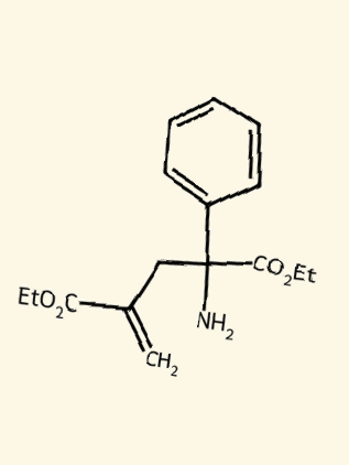 C=C(CC(N)(C(=O)OCC)c1ccccc1)C(=O)OCC